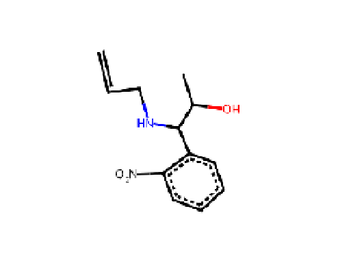 C=CCNC(c1ccccc1[N+](=O)[O-])C(C)O